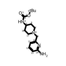 CC(C)(C)OC(=O)NC1CCN(Cc2cccc(N)n2)CC1